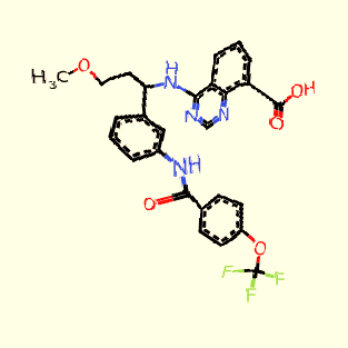 COCCC(Nc1ncnc2c(C(=O)O)cccc12)c1cccc(NC(=O)c2ccc(OC(F)(F)F)cc2)c1